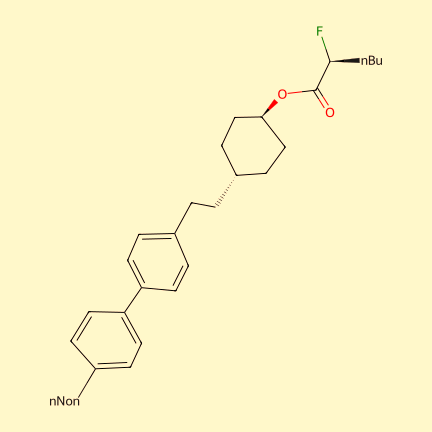 CCCCCCCCCc1ccc(-c2ccc(CC[C@H]3CC[C@H](OC(=O)[C@@H](F)CCCC)CC3)cc2)cc1